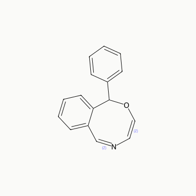 C1=C\OC(c2ccccc2)c2ccccc2\C=N/1